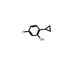 Oc1cc(F)ccc1C1CC1